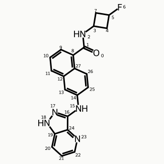 O=C(NC1CC(F)C1)c1cccc2cc(Nc3n[nH]c4cccnc34)ccc12